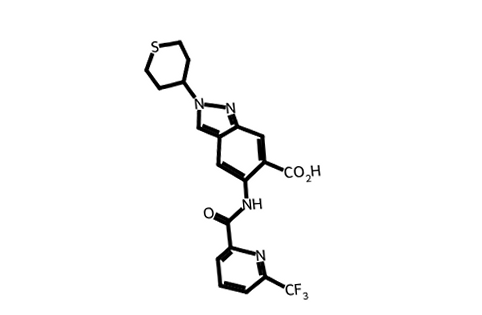 O=C(Nc1cc2cn(C3CCSCC3)nc2cc1C(=O)O)c1cccc(C(F)(F)F)n1